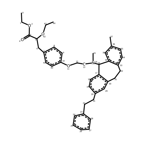 CCOC(=O)C(Cc1ccc(OCCN(C)C2c3ccc(CCc4ccccc4)cc3CCc3ccc(C)cc32)cc1)OCC